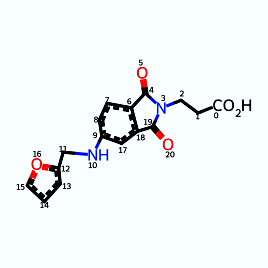 O=C(O)CCN1C(=O)c2ccc(NCc3ccco3)cc2C1=O